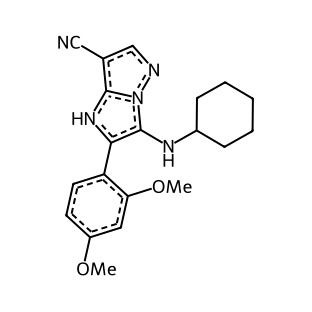 COc1ccc(-c2[nH]c3c(C#N)cnn3c2NC2CCCCC2)c(OC)c1